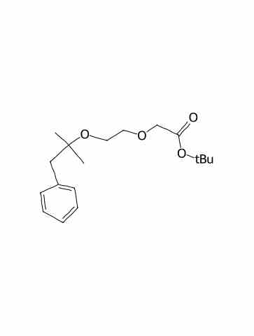 CC(C)(C)OC(=O)COCCOC(C)(C)Cc1ccccc1